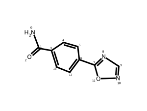 NC(=O)c1ccc(-c2ncno2)cc1